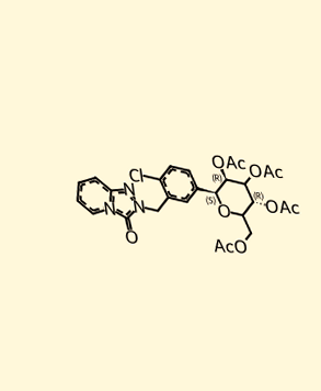 CC(=O)OCC1O[C@@H](c2ccc(Cl)c(Cn3nc4ccccn4c3=O)c2)[C@@H](OC(C)=O)C(OC(C)=O)[C@@H]1OC(C)=O